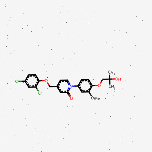 COc1cc(-n2ccc(COc3ccc(Cl)cc3Cl)cc2=O)ccc1OCC(C)(C)O